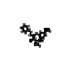 CC1Nc2ccc([N+](=O)[O-])cc2CN(CCc2ccccc2)C1=O